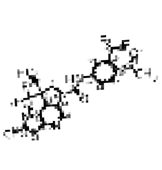 C#C[C@@]1(C(F)(F)F)CN(C(=O)Nc2ccc([S@@+](C)[O-])c(C(F)F)c2)c2cnc3cc(Cl)nn3c21